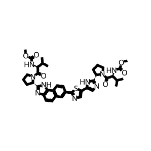 COC(=O)N[C@H](C(=O)N1CCC[C@H]1c1ncc(-c2cnc(-c3ccc4c(ccc5nc([C@@H]6CCCN6C(=O)[C@@H](NC(=O)OC)C(C)C)[nH]c54)c3)s2)[nH]1)C(C)C